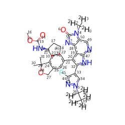 [2H]C([2H])([2H])n1c(=O)n([C@@H]2CC[C@@H](NC(=O)OC)C2)c2c3c(-c4ccc5c(c4)COC5(C)C)c(-c4cn(C([2H])([2H])C([2H])([2H])[2H])nc4F)[nH]c3ncc21